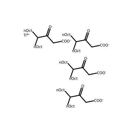 CCCCCCCCC(CCCCCCCC)C(=O)CC(=O)[O-].CCCCCCCCC(CCCCCCCC)C(=O)CC(=O)[O-].CCCCCCCCC(CCCCCCCC)C(=O)CC(=O)[O-].CCCCCCCCC(CCCCCCCC)C(=O)CC(=O)[O-].[Ti+4]